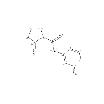 C=C/C=C(\C=C/C)NC(=O)C1CCCC1=O